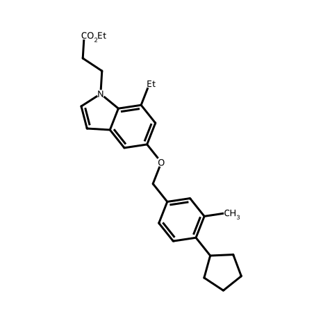 CCOC(=O)CCn1ccc2cc(OCc3ccc(C4CCCC4)c(C)c3)cc(CC)c21